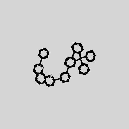 c1ccc(-c2ccc3ccc4ccc(-c5cccc(-c6ccc7c(c6)C(c6ccccc6)(c6ccccc6)c6ccccc6-7)c5)nc4c3n2)cc1